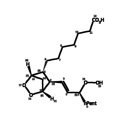 CCCCC[C@@H](C=C[C@@H]1[C@@H](CCCCCCC(=O)O)[C@@H]2C[C@H]1OO2)OO